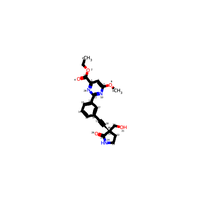 CCOC(=O)c1cc(OC)nc(-c2cccc(C#C[C@@]3(CO)CCNC3=O)c2)n1